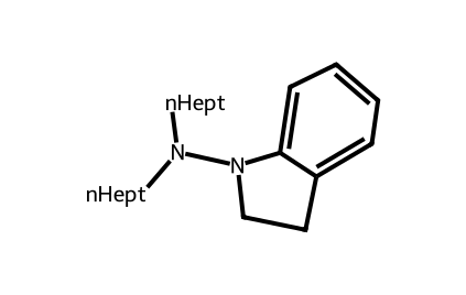 CCCCCCCN(CCCCCCC)N1CCc2ccccc21